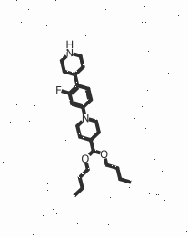 CCCCOC(OCCCC)C1CCN(c2ccc(C3CCNCC3)c(F)c2)CC1